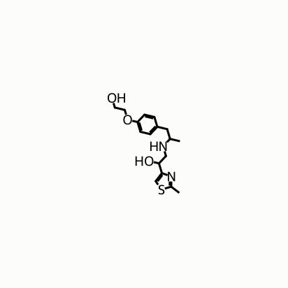 Cc1nc(C(O)CNC(C)Cc2ccc(OCCO)cc2)cs1